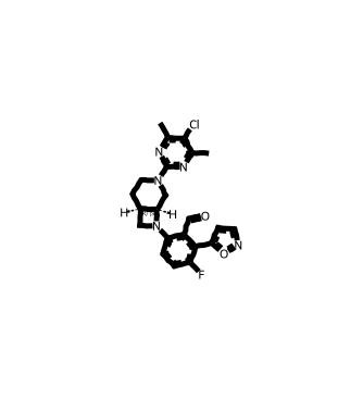 Cc1nc(N2CC[C@@H]3CN(c4ccc(F)c(-c5ccno5)c4C=O)[C@@H]3C2)nc(C)c1Cl